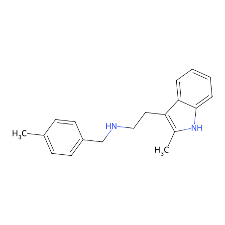 Cc1ccc(CNCCc2c(C)[nH]c3ccccc23)cc1